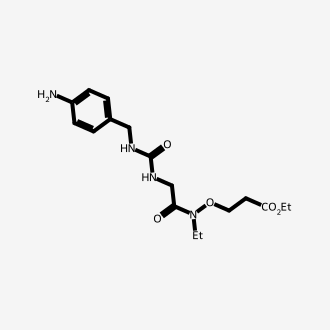 CCOC(=O)CCON(CC)C(=O)CNC(=O)NCc1ccc(N)cc1